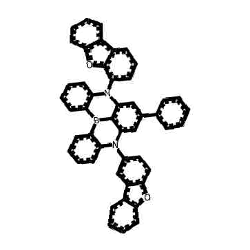 c1ccc(-c2cc3c4c(c2)N(c2cccc5c2oc2ccccc25)c2ccccc2B4c2ccccc2N3c2ccc3oc4ccccc4c3c2)cc1